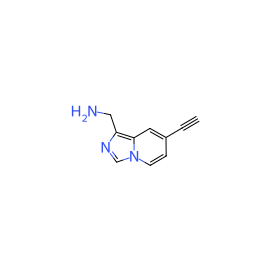 C#Cc1ccn2cnc(CN)c2c1